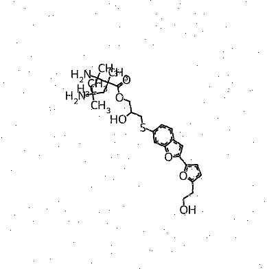 CC(C)(N)CC(C)(C(=O)OCC(O)CSc1ccc2cc(-c3ccc(CCO)o3)oc2c1)C(C)(C)N